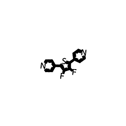 Fc1c(-c2ccncc2)sc(-c2ccncc2)c1F